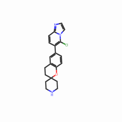 Clc1c(-c2ccc3c(c2)CCC2(CCNCC2)O3)ccc2nccn12